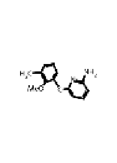 COc1c(C)cccc1Oc1cccc(N)n1